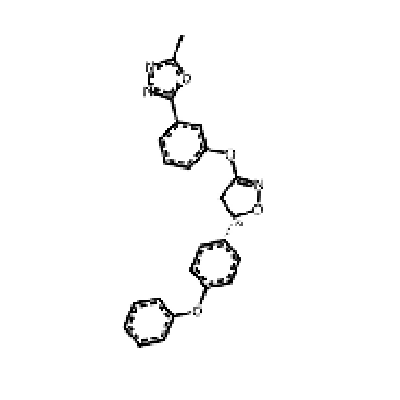 Cc1nnc(-c2cccc(OC3=NO[C@H](c4ccc(Oc5ccccc5)cc4)C3)c2)o1